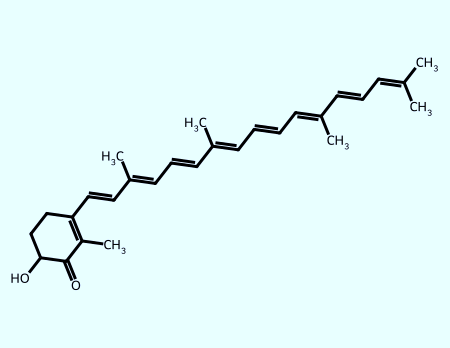 CC(C)=C/C=C/C(C)=C/C=C/C=C(C)/C=C/C=C(C)/C=C/C1=C(C)C(=O)C(O)CC1